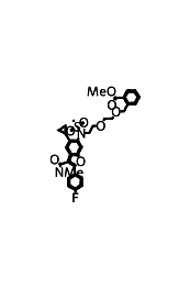 CNC(=O)c1c(-c2ccc(F)cc2)oc2cc(N(CCOCCOCc3ccccc3C(=O)OC)S(C)(=O)=O)c(C3CC3)cc12